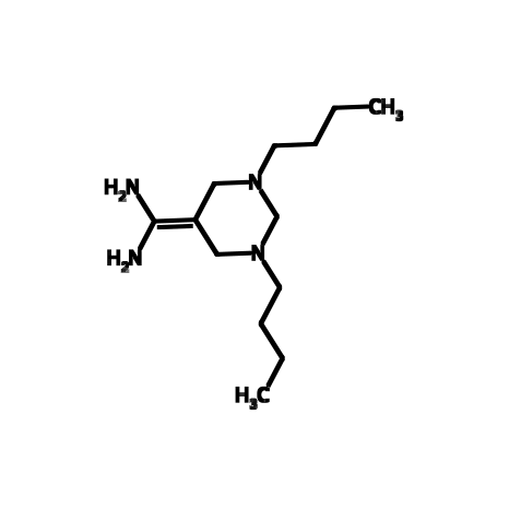 CCCCN1CC(=C(N)N)CN(CCCC)C1